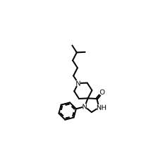 CC(C)CCCN1CCC2(CC1)C(=O)NCN2c1ccccc1